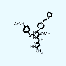 COc1c(Nc2cc(C)[nH]n2)nc(Sc2ccc(NC(C)=O)cc2)nc1N1CCN(CCN2CCCC2)CC1